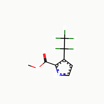 COC(=O)c1[nH]ccc1C(F)(F)C(F)(F)F